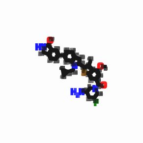 COc1cc(C(=O)N2CC(N)C[C@@H](F)C2)cc2sc(-c3cc4ccc(-c5ccc6c(c5)C(=O)NC6)cc4n3CC3CC3)c(C)c12